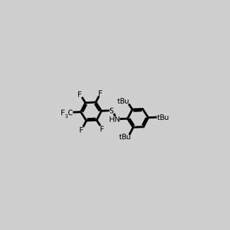 CC(C)(C)c1cc(C(C)(C)C)c(NSc2c(F)c(F)c(C(F)(F)F)c(F)c2F)c(C(C)(C)C)c1